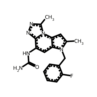 Cc1cc2c(cc(NC(N)=O)c3nnc(C)n32)n1Cc1ccccc1F